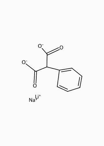 O=C([O-])C(C(=O)[O-])c1ccccc1.[Li+].[Na+]